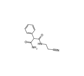 N#CCCNC(=O)C(C(N)=O)c1ccccc1